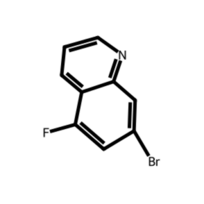 Fc1cc(Br)cc2ncccc12